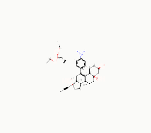 C=C.CC#C[C@]1(O)CC[C@H]2[C@@H]3CC[C@@]4(O)CC(=O)CC[C@@H]4C3=C(c3ccc(N(C)C)cc3)C[C@@]21C.CCOC(C)OCC